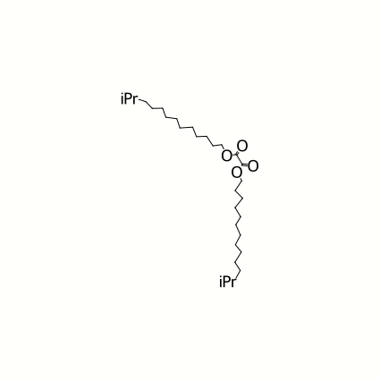 CC(C)CCCCCCCCCCCOC(=O)C(=O)OCCCCCCCCCCCC(C)C